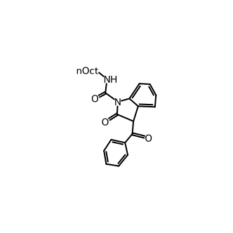 CCCCCCCCNC(=O)N1C(=O)C(C(=O)c2ccccc2)c2ccccc21